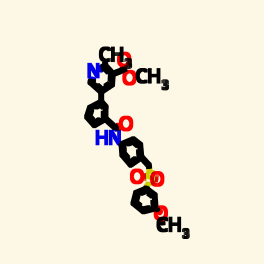 COC(=O)c1cc(-c2cccc(C(=O)Nc3ccc(CS(=O)(=O)c4cccc(OC)c4)cc3)c2)cnc1C